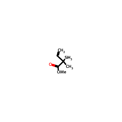 C=CC(C)([SiH3])C(=O)OC